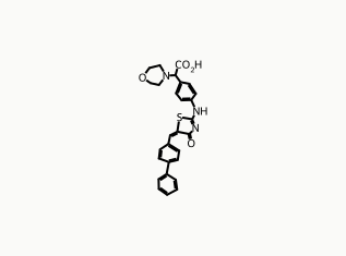 O=C1N=C(Nc2ccc(C(C(=O)O)N3CCOCC3)cc2)S/C1=C/c1ccc(-c2ccccc2)cc1